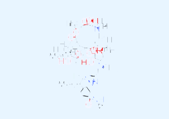 CC[C@H]1OC(=O)[C@H](C)[C@@H](C2C[C@@](C)(OC)[C@@H](O)[C@H](C)O2)[C@H](C)[C@@H](O[C@@H]2O[C@H](C)C[C@H](N(C)CCc3cn([C@H](CF)[C@H](OC)c4ccc(C(=O)NC5CC5)cc4)nn3)[C@H]2O)[C@](C)(O)C[C@@H](C)CN(C)[C@H](C)[C@@H](O)[C@]1(C)O